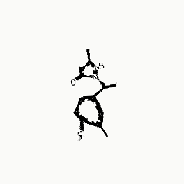 Cc1cc(=O)n(C(C)c2ccc(F)c(C)c2)[nH]1